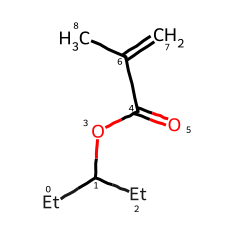 [CH2]CC(CC)OC(=O)C(=C)C